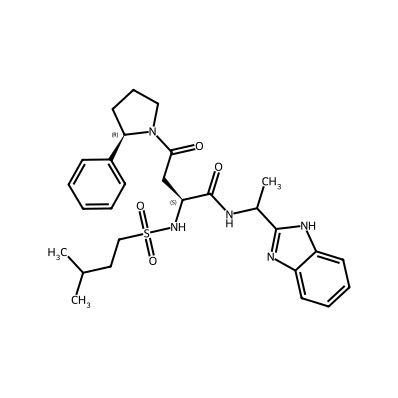 CC(C)CCS(=O)(=O)N[C@@H](CC(=O)N1CCC[C@@H]1c1ccccc1)C(=O)NC(C)c1nc2ccccc2[nH]1